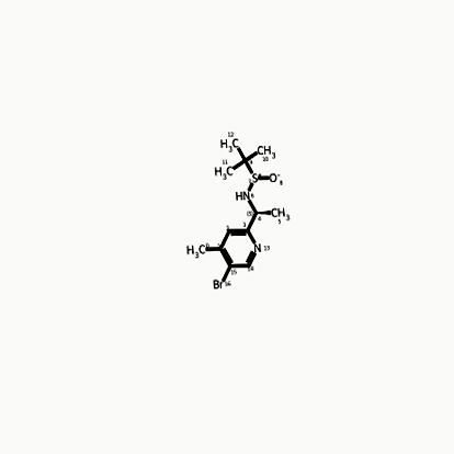 Cc1cc([C@H](C)N[S+]([O-])C(C)(C)C)ncc1Br